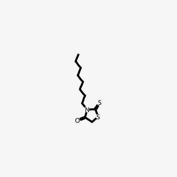 CCCCCCCCN1C(=O)CSC1=S